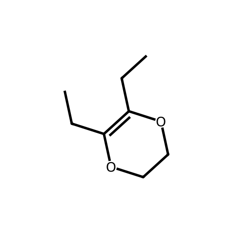 CCC1=C(CC)OCCO1